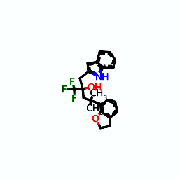 CC(C)(CC(O)(Cc1cc2ccccc2[nH]1)C(F)(F)F)c1cccc2c1OCC2